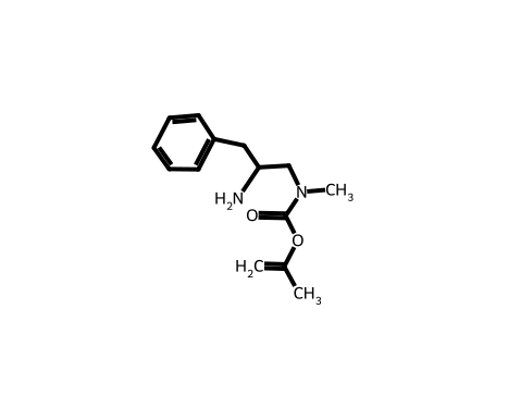 C=C(C)OC(=O)N(C)CC(N)Cc1ccccc1